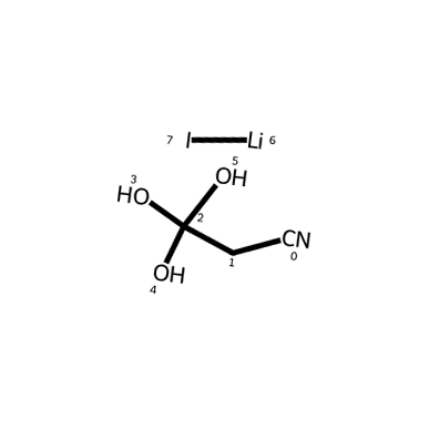 N#CCC(O)(O)O.[Li][I]